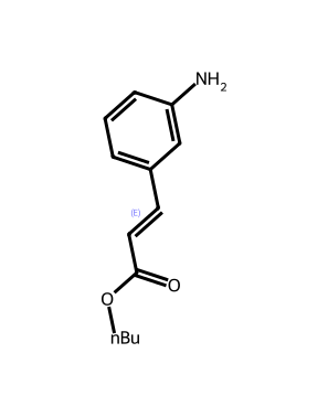 CCCCOC(=O)/C=C/c1cccc(N)c1